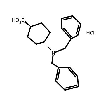 Cl.O=C(O)[C@H]1CC[C@H](N(Cc2ccccc2)Cc2ccccc2)CC1